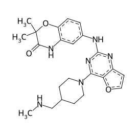 CNCC1CCN(c2nc(Nc3ccc4c(c3)NC(=O)C(C)(C)O4)nc3ccoc23)CC1